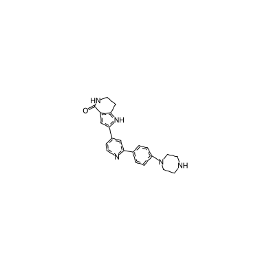 O=C1NCCc2[nH]c(-c3ccnc(-c4ccc(N5CCNCC5)cc4)c3)cc21